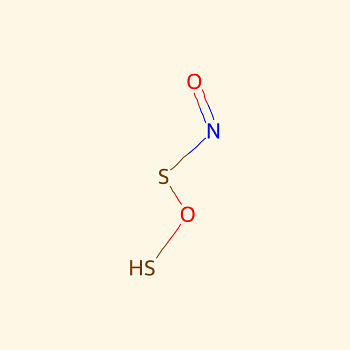 O=NSOS